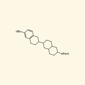 CCCCCC1CCC2CC(C3CCc4cc(CCCC)ccc4C3)CCC2C1